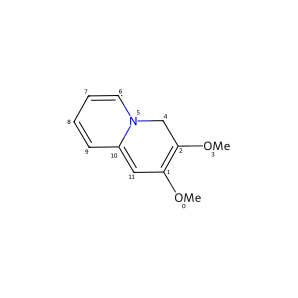 COC1=C(OC)CN2[C]=CC=CC2=C1